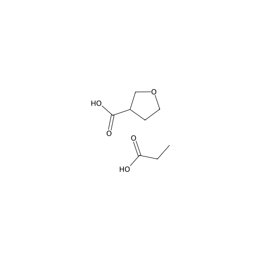 CCC(=O)O.O=C(O)C1CCOC1